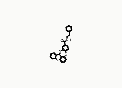 O=C(NCCc1ccccc1)c1ccc2c(c1)N=C(C1=CC=CCC1F)c1ccccc1S2